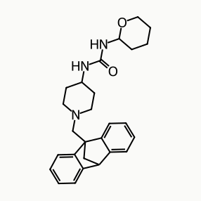 O=C(NC1CCN(CC23CC(c4ccccc42)c2ccccc23)CC1)NC1CCCCO1